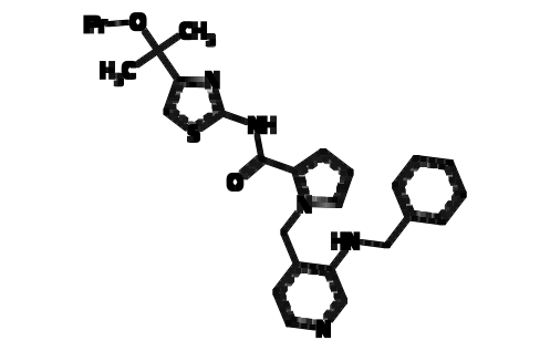 CC(C)OC(C)(C)c1csc(NC(=O)c2cccn2Cc2ccncc2NCc2ccccc2)n1